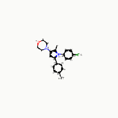 Cc1c(N2CCOCC2)cc(-c2ccc(C(C)C)cc2)n1-c1ccc(F)cc1